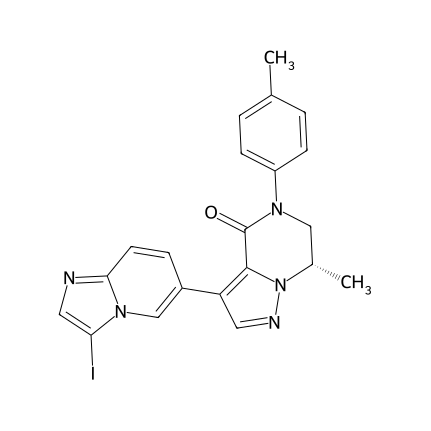 Cc1ccc(N2C[C@H](C)n3ncc(-c4ccc5ncc(I)n5c4)c3C2=O)cc1